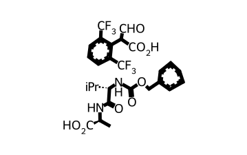 CC(C)[C@H](NC(=O)OCc1ccccc1)C(=O)N[C@@H](C)C(=O)O.O=CC(C(=O)O)c1c(C(F)(F)F)cccc1C(F)(F)F